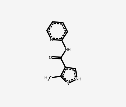 Cc1n[nH]cc1C(=O)Nc1ccccn1